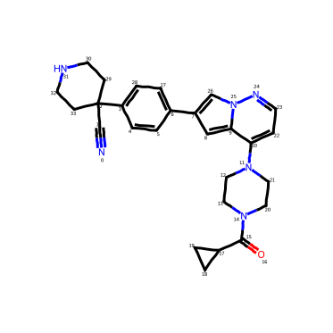 N#CC1(c2ccc(-c3cc4c(N5CCN(C(=O)C6CC6)CC5)ccnn4c3)cc2)CCNCC1